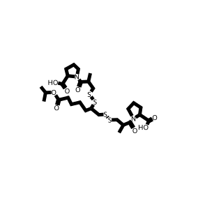 CC(C)OC(=O)CCCCC(CSSCC(C)C(=O)N1CCCC1C(=O)O)SSCC(C)C(=O)N1CCCC1C(=O)O